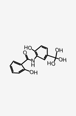 O=C(Nc1cc(C(O)(O)O)ccc1O)c1ccccc1O